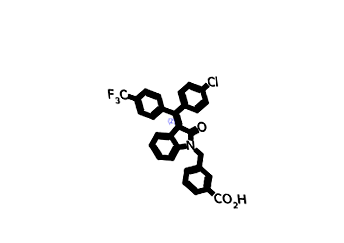 O=C(O)c1cccc(CN2C(=O)/C(=C(\c3ccc(Cl)cc3)c3ccc(C(F)(F)F)cc3)c3ccccc32)c1